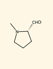 CN1CCC[C@H]1[C]=O